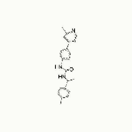 Cc1ccc(C(C)NC(=O)Nc2ccc(-c3ccnc(C)c3)cc2)cc1